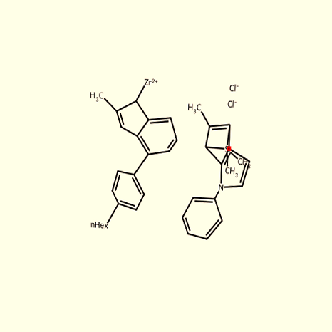 CC1=C2c3ccn(-c4ccccc4)c3C1[Si]2(C)C.CCCCCCc1ccc(-c2cccc3c2C=C(C)[CH]3[Zr+2])cc1.[Cl-].[Cl-]